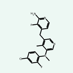 Cc1c(Cc2ccnc(N)c2F)cncc1N(C)c1ccc(Cl)cc1F